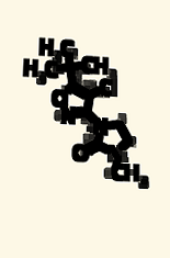 CN1CCN(c2noc(C(C)(C)C)c2Cl)C1=O